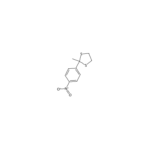 CC1(c2ccc([N+](=O)[O-])cc2)SCCS1